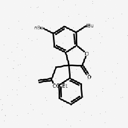 C=C(CC1(c2ccccc2)C(=O)Oc2c(C(C)CC)cc(CCCC)cc21)C(=O)OCC